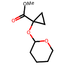 COC(=O)C1(OC2CCCCO2)CC1